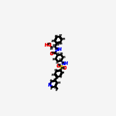 Cc1cncc(-c2ccc(S(=O)(=O)N[C@H]3CC[C@H](C(=O)N[C@H](CO)c4ccccc4)CC3)cc2)c1